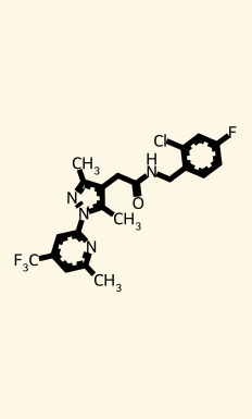 Cc1cc(C(F)(F)F)cc(-n2nc(C)c(CC(=O)NCc3ccc(F)cc3Cl)c2C)n1